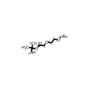 CCCCOCCOCCOC(C)(CCC)C(=O)OCC